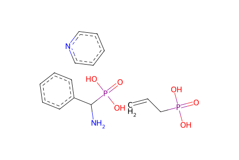 C=CCP(=O)(O)O.NC(c1ccccc1)P(=O)(O)O.c1ccncc1